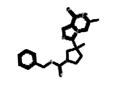 Cc1cn2c(C3(C)CCN(C(=O)OCc4ccccc4)C3)ncc2c(=O)[nH]1